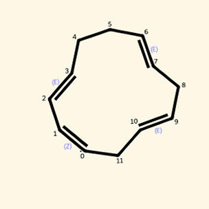 [C]1=C\C=C\CC/C=C/C/C=C/C/1